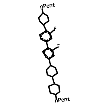 CCCCCC1CCC(c2ccc(-c3ccc(C4CCC(C5CCC(CCCCC)CC5)CC4)cc3F)cc2F)CC1